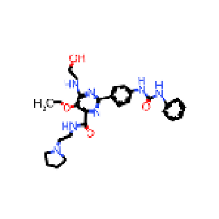 CCOc1c(NCCO)nc(-c2ccc(NC(=O)Nc3ccccc3)cc2)nc1C(=O)NCCN1CCCC1